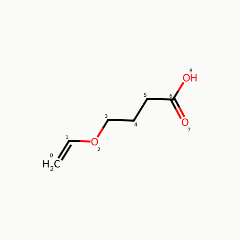 C=COCCCC(=O)O